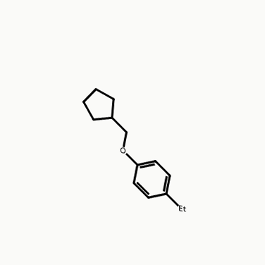 CCc1ccc(OCC2CCCC2)cc1